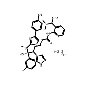 CC(=O)OC(c1cccnc1NC(=O)OCCC([n+]1cn[nH]c1)[C@@](O)(c1cccc(F)c1)[C@H](C)c1nc(-c2ccc(C#N)cc2)cs1)N(C)C.Cl.Cl.[Cl-]